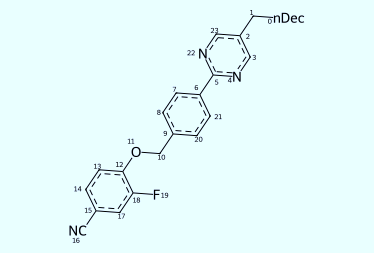 CCCCCCCCCCCc1cnc(-c2ccc(COc3ccc(C#N)cc3F)cc2)nc1